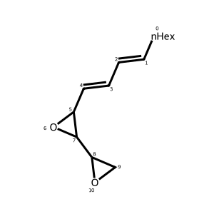 CCCCCCC=CC=CC1OC1C1CO1